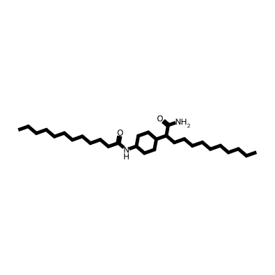 CCCCCCCCCCCC(=O)NC1CCC(C(CCCCCCCCCC)C(N)=O)CC1